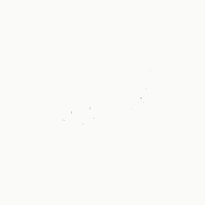 Oc1ccc(OCc2cccc(OC(F)(F)F)c2)cc1Cl